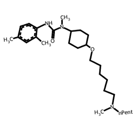 CCCCCN(C)CCCCCCOC1CCC(N(C)C(=O)Nc2ccc(C)cc2C)CC1